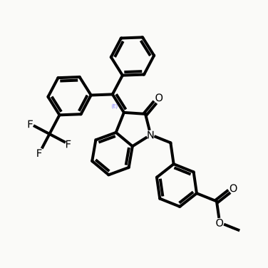 COC(=O)c1cccc(CN2C(=O)/C(=C(\c3ccccc3)c3cccc(C(F)(F)F)c3)c3ccccc32)c1